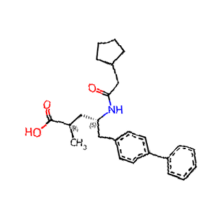 C[C@H](C[C@@H](Cc1ccc(-c2ccccc2)cc1)NC(=O)CC1CCCC1)C(=O)O